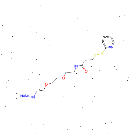 [N-]=[N+]=NCCOCCOCCNC(=O)CCSSc1ccccn1